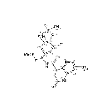 COCC(NC(=O)N1CC(=O)Nc2cc(C)cnc21)c1cc(F)c(OC(C)(C)F)c(F)c1